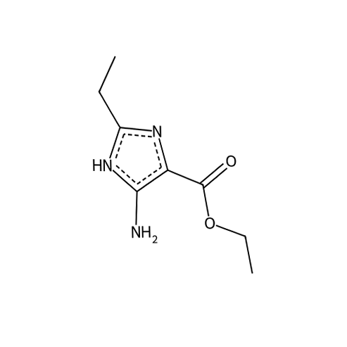 CCOC(=O)c1nc(CC)[nH]c1N